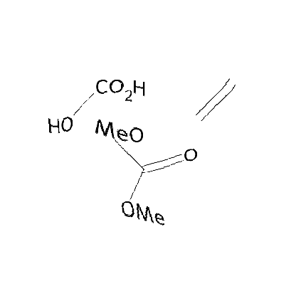 C=C.COC(=O)OC.O=C(O)O